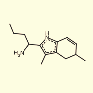 CCCC(N)c1[nH]c2c(c1C)CC(C)C=C2